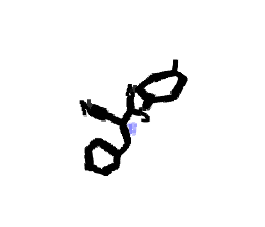 Cc1ccc2sc(/C(C#N)=C/c3ccccc3)nc2c1